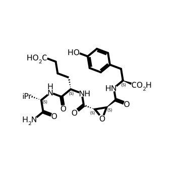 CC(C)[C@H](NC(=O)[C@H](CCCC(=O)O)NC(=O)[C@H]1O[C@@H]1C(=O)N[C@@H](Cc1ccc(O)cc1)C(=O)O)C(N)=O